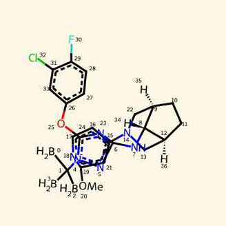 BC(B)(B)n1nc(N[C@@H]2[C@@H]3CC[C@H]2CN(c2ccnc(OC)c2)C3)nc1Oc1ccc(F)c(Cl)c1